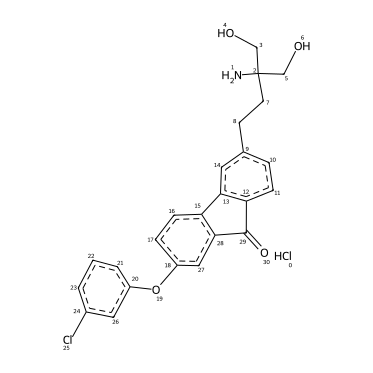 Cl.NC(CO)(CO)CCc1ccc2c(c1)-c1ccc(Oc3cccc(Cl)c3)cc1C2=O